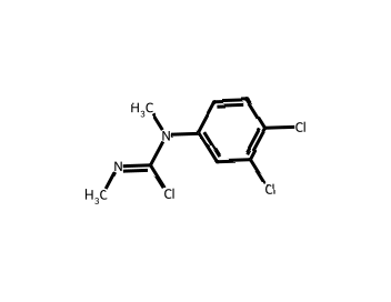 CN=C(Cl)N(C)c1ccc(Cl)c(Cl)c1